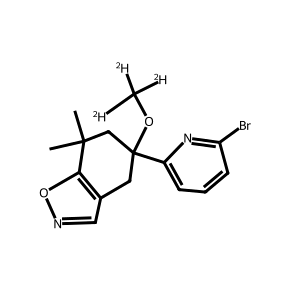 [2H]C([2H])([2H])OC1(c2cccc(Br)n2)Cc2cnoc2C(C)(C)C1